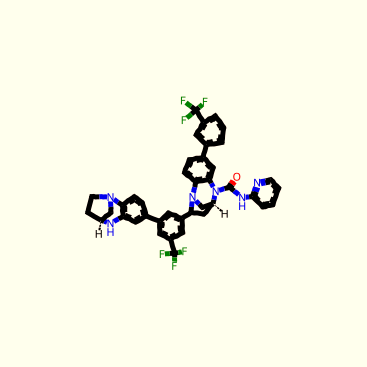 O=C(Nc1ccccn1)N1c2cc(-c3cccc(C(F)(F)F)c3)ccc2N2C[C@@H]1CC2c1cc(-c2ccc3c(c2)N[C@H]2CCN3C2)cc(C(F)(F)F)c1